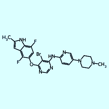 Cc1cc2c(F)c(Oc3ncnc(Nc4ccc(N5CCN(C)CC5)cn4)c3Br)cc(F)c2[nH]1